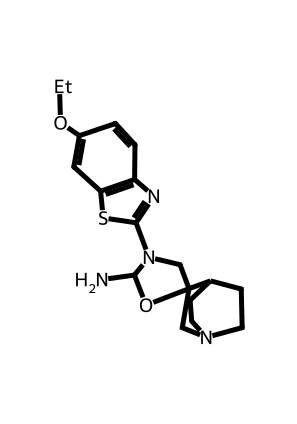 CCOc1ccc2nc(N3CC4(CN5CCC4CC5)OC3N)sc2c1